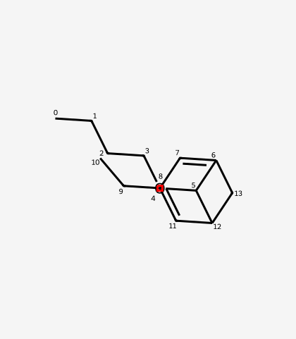 CCCCOC1C2=CC(CC)=CC1C2